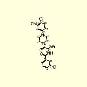 CC(C)C(NC(=O)c1cccc(Cl)c1)C(=O)N1CCN(c2ccc(Cl)c(Cl)c2)CC1